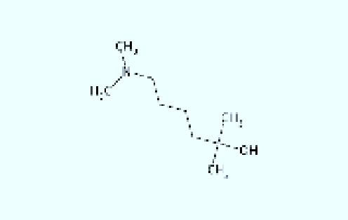 CN(C)CCCCC(C)(C)O